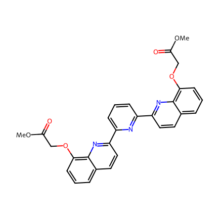 COC(=O)COc1cccc2ccc(-c3cccc(-c4ccc5cccc(OCC(=O)OC)c5n4)n3)nc12